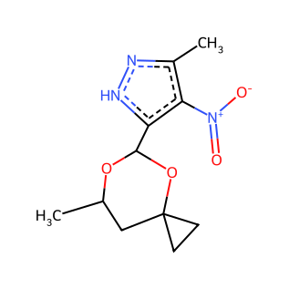 Cc1n[nH]c(C2OC(C)CC3(CC3)O2)c1[N+](=O)[O-]